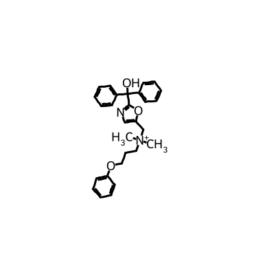 C[N+](C)(CCCOc1ccccc1)Cc1cnc(C(O)(c2ccccc2)c2ccccc2)o1